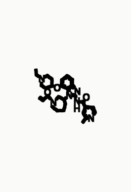 C=CC(=O)N1CCCCC(n2c(NC(=O)c3ccnc(C)c3)nc3cccc(OC4CCN(CC)CC4)c32)C1